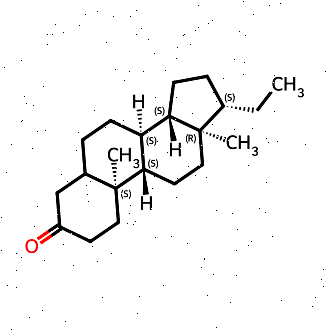 CC[C@H]1CC[C@H]2[C@@H]3CCC4CC(=O)CC[C@]4(C)[C@H]3CC[C@]12C